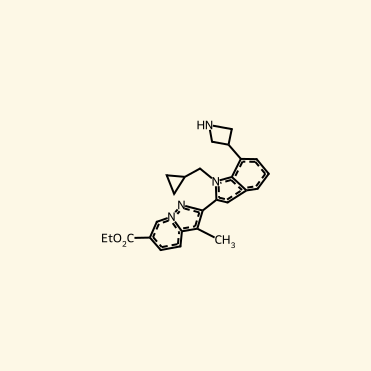 CCOC(=O)c1ccc2c(C)c(-c3cc4cccc(C5CNC5)c4n3CC3CC3)nn2c1